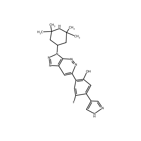 CC1(C)CC(n2nnc3cc(-c4cc(F)c(-c5cn[nH]c5)cc4O)nnc32)CC(C)(C)N1